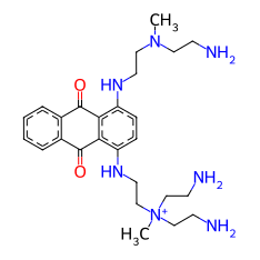 CN(CCN)CCNc1ccc(NCC[N+](C)(CCN)CCN)c2c1C(=O)c1ccccc1C2=O